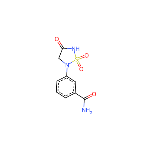 NC(=O)c1cccc(N2CC(=O)NS2(=O)=O)c1